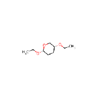 CCO[C@@H]1CC[C@H](OCC)OC1